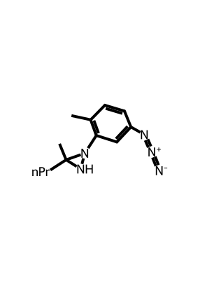 CCCC1(C)NN1c1cc(N=[N+]=[N-])ccc1C